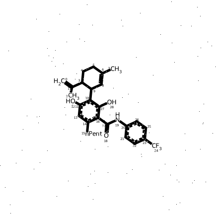 C=C(C)C1CCC(C)=CC1c1c(O)cc(CCCCC)c(C(=O)Nc2ccc(C(F)(F)F)cc2)c1O